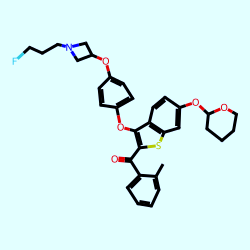 Cc1ccccc1C(=O)c1sc2cc(OC3CCCCO3)ccc2c1Oc1ccc(OC2CN(CCCF)C2)cc1